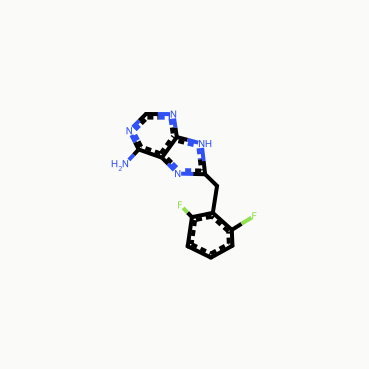 Nc1ncnc2[nH]c(Cc3c(F)cccc3F)nc12